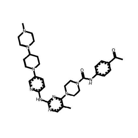 CC(=O)c1ccc(NC(=O)N2CCN(c3nc(Nc4ccc(N5CCC(N6CCN(C)CC6)CC5)cn4)ncc3C)CC2)cc1